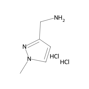 Cl.Cl.Cn1ccc(CN)n1